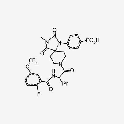 CC(C)C(NC(=O)c1cc(OC(F)(F)F)ccc1F)C(=O)N1CCC2(CC1)C(=O)N(C)C(=O)N2c1ccc(C(=O)O)cc1